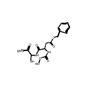 CNC(=O)C(NC(=O)C(CC(=O)OCc1ccccc1)NC(=O)OC(C)(C)C)C(C)(C)C